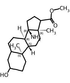 COC(=O)C1CC[C@@]2(N)[C@@H]3CCC4CC(O)CC[C@]4(C)[C@H]3CC[C@]12C